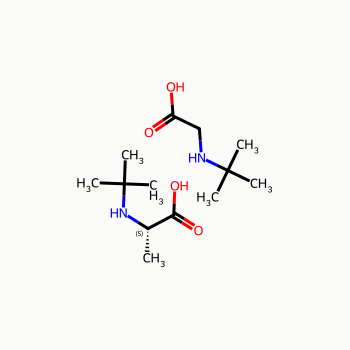 CC(C)(C)NCC(=O)O.C[C@H](NC(C)(C)C)C(=O)O